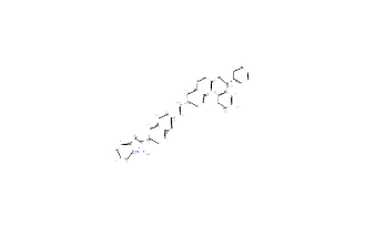 Cn1c(-c2ccc3cc(/C=C/c4ccc5cc(C=C(c6ccccc6)c6ccccc6)ccc5c4)ccc3c2)cc2ccccc21